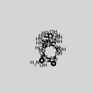 CC(c1ccccc1)C1NC(=O)CNC(=O)C(CO)NC(=O)C(C(O)C2CNC(=N)N2C2OC(CO)C(O)C(O)C2O)NC(=O)C(C(O)C2CNC(=N)N2)NC(=O)C(Cc2ccc(O)c(N)c2)NC1=O